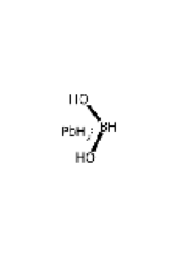 OBO.[PbH2]